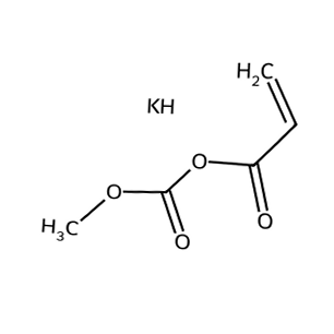 C=CC(=O)OC(=O)OC.[KH]